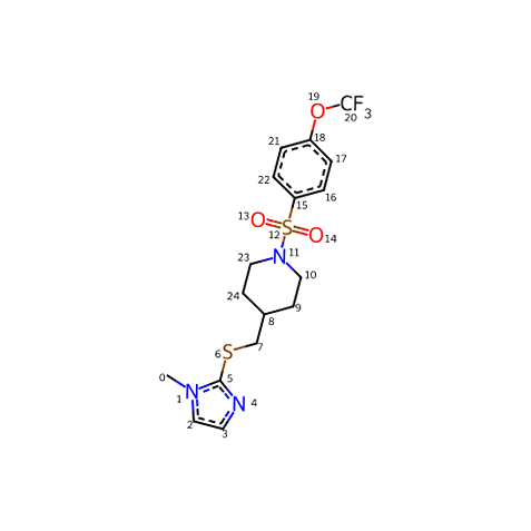 Cn1ccnc1SCC1CCN(S(=O)(=O)c2ccc(OC(F)(F)F)cc2)CC1